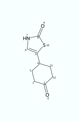 O=C1CCC(c2c[nH]c(=O)s2)CC1